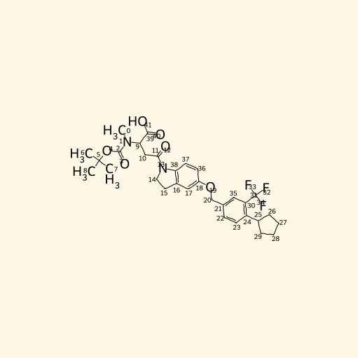 CN(C(=O)OC(C)(C)C)C(CC(=O)N1CCc2cc(OCc3ccc(C4CCCC4)c(C(F)(F)F)c3)ccc21)C(=O)O